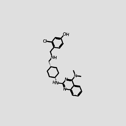 CN(C)c1nc(N[C@H]2CC[C@@H](CNCc3ccc(O)cc3Cl)CC2)nc2ccccc12